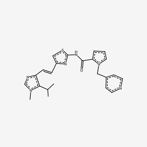 CC(C)c1c(C=Cc2csc(NC(=O)c3cccn3Cc3ccncc3)n2)ncn1C